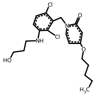 CCCCCOc1ccn(Cc2c(Cl)ccc(NCCCO)c2Cl)c(=O)c1